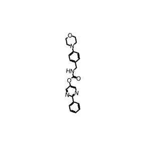 O=C(NCc1ccc(N2CCOCC2)cc1)Oc1cnc(-c2ccccc2)nc1